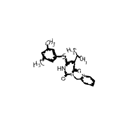 Cc1cc(C)cc(Sc2[nH]c(=O)n(Cc3ccccn3)c(=O)c2C(C)C)c1